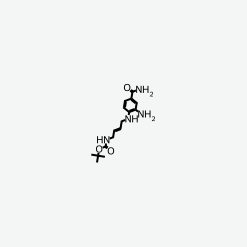 CC(C)(C)OC(=O)NC/C=C/CNc1ccc(C(N)=O)cc1N